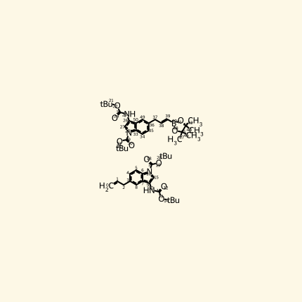 C=CCc1ccc2c(c1)c(NC(=O)OC(C)(C)C)cn2C(=O)OC(C)(C)C.CC(C)(C)OC(=O)Nc1cn(C(=O)OC(C)(C)C)c2ccc(C/C=C/B3OC(C)(C)C(C)(C)O3)cc12